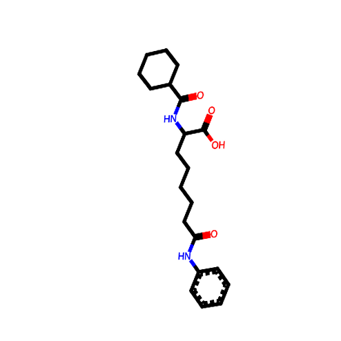 O=C(CCCCCC(NC(=O)C1CCCCC1)C(=O)O)Nc1ccccc1